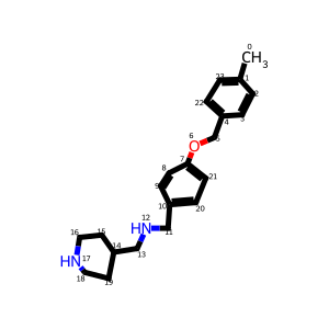 Cc1ccc(COc2ccc(CNCC3CCNCC3)cc2)cc1